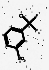 O=[N+]([O-])c1cccc(C(F)(F)Cl)c1